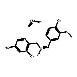 C=[NH+][O-].COc1cc(/C=[N+](/[O-])Cc2ccc(O)cc2O)ccc1O